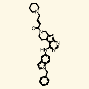 O=C(C=CCN1CCCCC1)N1CCc2c(sc3ncnc(Nc4ccc5c(ccn5Cc5ccccc5)c4)c23)C1